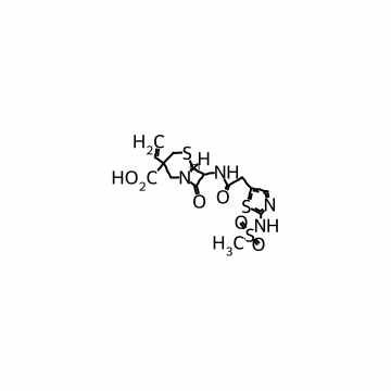 C=CC1(C(=O)O)CS[C@@H]2C(NC(=O)Cc3cnc(NS(C)(=O)=O)s3)C(=O)N2C1